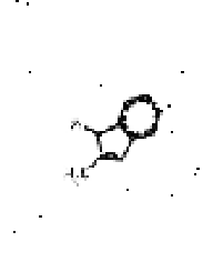 CC1=Cc2ccccc2[CH]1[Zr]